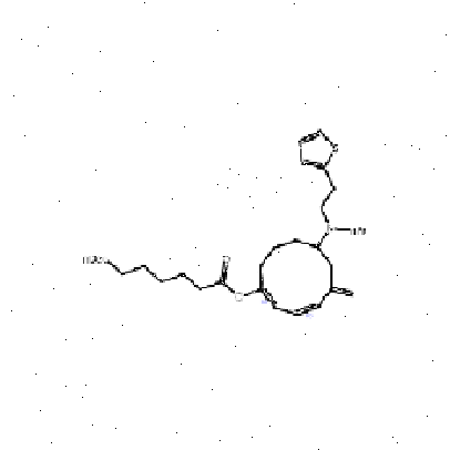 C=C1/C=C\C=C(\OC(=O)CCCCCCCCCCCCCCC)CCCC(N(CCC)CCc2cccs2)C1